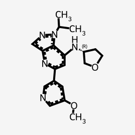 COc1cncc(-c2cc(N[C@@H]3CCOC3)c3c(cnn3C(C)C)n2)c1